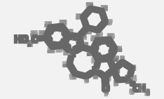 CN1CCC2(C1)C(=O)N1CCCn3c(c(C4CCCCC4)c4ccc(C(=O)O)cc43)-c3cccc2c31